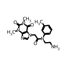 Cc1cccc(N(CCN)C(=O)Cn2cnc3c2c(=O)n(C)c(=O)n3C)c1